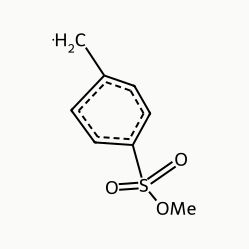 [CH2]c1ccc(S(=O)(=O)OC)cc1